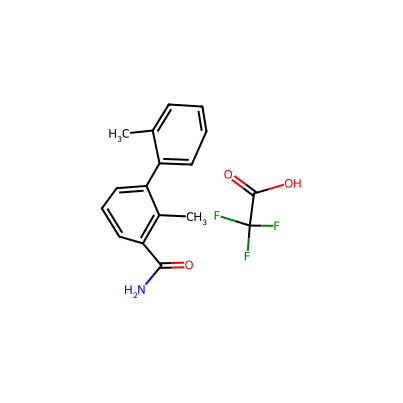 Cc1ccccc1-c1cccc(C(N)=O)c1C.O=C(O)C(F)(F)F